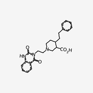 O=C(O)C1CN(CCn2c(=O)[nH]c3ccccc3c2=O)CCC1CCc1ccccc1